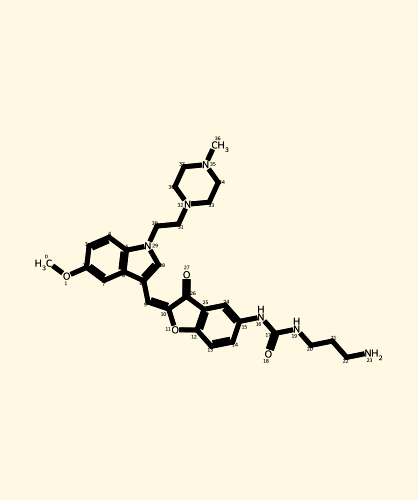 COc1ccc2c(c1)c(C=C1Oc3ccc(NC(=O)NCCCN)cc3C1=O)cn2CCN1CCN(C)CC1